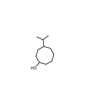 CC(C)C1CCCCC(O)CC1